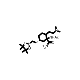 CC(=O)NC1(C(N)=O)C[C@H](CCB2OC(C)(C)C(C)(C)O2)CCC1CCN(C)C